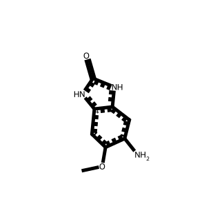 COc1cc2[nH]c(=O)[nH]c2cc1N